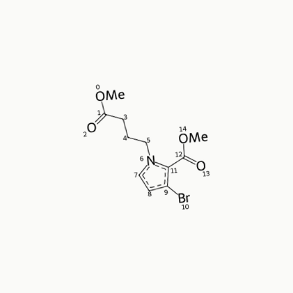 COC(=O)CCCn1ccc(Br)c1C(=O)OC